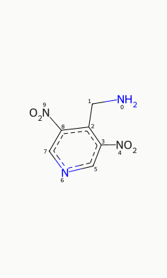 NCc1c([N+](=O)[O-])cncc1[N+](=O)[O-]